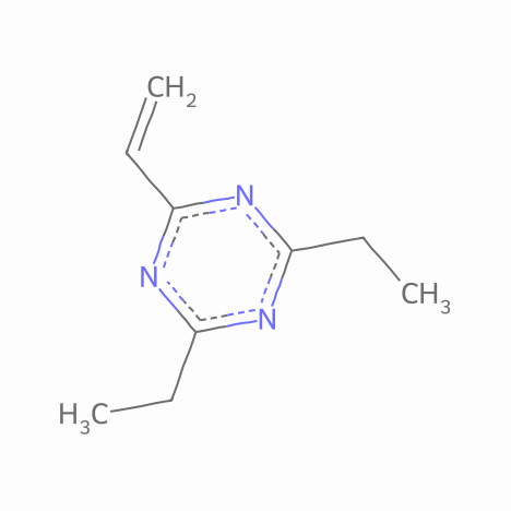 C=Cc1nc(CC)nc(CC)n1